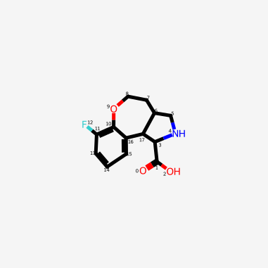 O=C(O)C1NCC2CCOc3c(F)cccc3C21